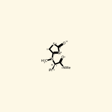 CNC(=O)[C@@H](C(C)C)N(C)C1=NC(=O)SC1